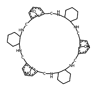 Oc1c2cccc1CNC1CCCCC1NCc1cccc(c1O)CNC1CCCCC1NCc1cccc(c1O)CNC1CCCCC1NC2